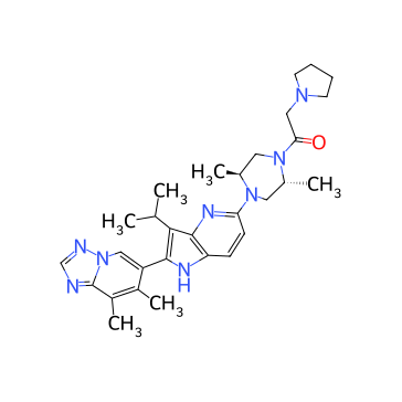 Cc1c(-c2[nH]c3ccc(N4C[C@@H](C)N(C(=O)CN5CCCC5)C[C@@H]4C)nc3c2C(C)C)cn2ncnc2c1C